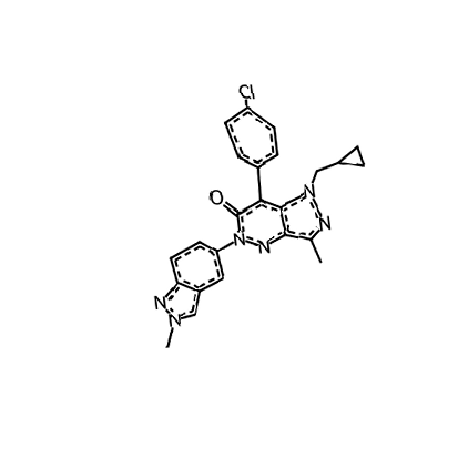 Cc1nn(CC2CC2)c2c(-c3ccc(Cl)cc3)c(=O)n(-c3ccc4nn(C)cc4c3)nc12